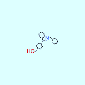 OCc1ccc(-c2cn(Cc3ccccc3)c3ccccc23)cc1